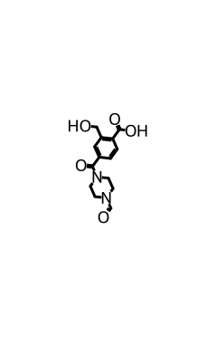 O=CN1CCN(C(=O)c2ccc(C(=O)O)c(CO)c2)CC1